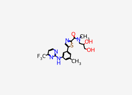 Cc1cc(Nc2nccc(C(F)(F)F)n2)cc(-c2cnc(C(=O)N(C)CC(O)CO)s2)c1